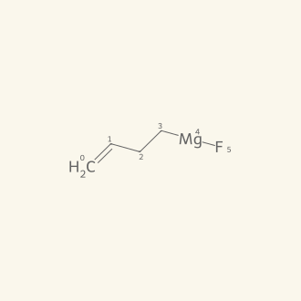 C=CC[CH2][Mg][F]